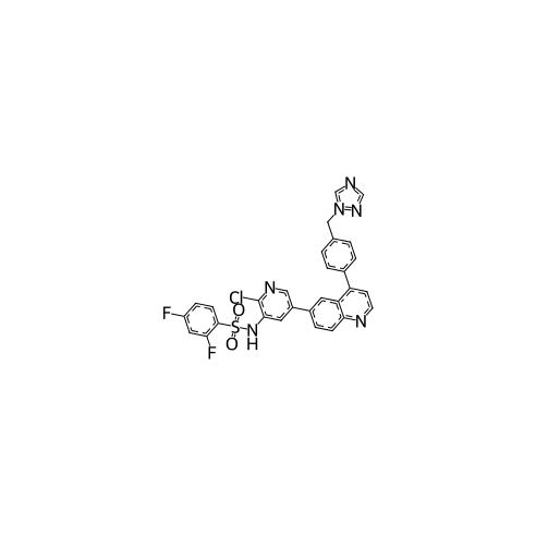 O=S(=O)(Nc1cc(-c2ccc3nccc(-c4ccc(Cn5cncn5)cc4)c3c2)cnc1Cl)c1ccc(F)cc1F